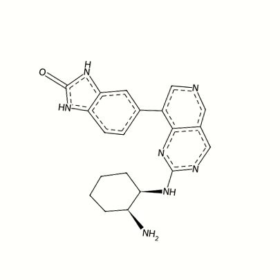 N[C@H]1CCCC[C@H]1Nc1ncc2cncc(-c3ccc4[nH]c(=O)[nH]c4c3)c2n1